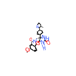 COc1ccc2c(c1)C(=O)N(C[C@]1(c3ccc(-c4ncccc4C)cc3)NC(=O)NC1=O)C2